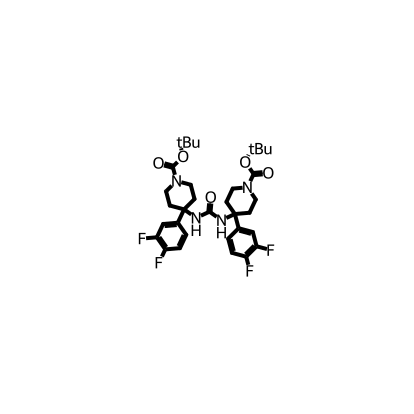 CC(C)(C)OC(=O)N1CCC(NC(=O)NC2(c3ccc(F)c(F)c3)CCN(C(=O)OC(C)(C)C)CC2)(c2ccc(F)c(F)c2)CC1